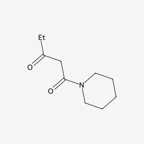 CCC(=O)CC(=O)N1CCCCC1